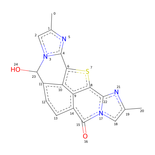 Cc1cn2c(n1)-c1sc3c4c1c(ccc4c(=O)n1cc(C)nc31)C2O